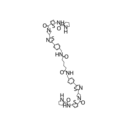 O=C(CCCCC(=O)NCc1ccc(-c2cnc(C3CN(C(=O)c4ccc(NC(=O)[C@@H]5CCCN5)s4)C3)s2)cc1)NCc1ccc(-c2cnc(C3CN(C(=O)c4ccc(NC(=O)[C@@H]5CCCN5)s4)C3)s2)cc1